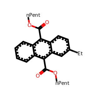 CCCCCOC(=O)c1c2ccccc2c(C(=O)OCCCCC)c2cc(CC)ccc12